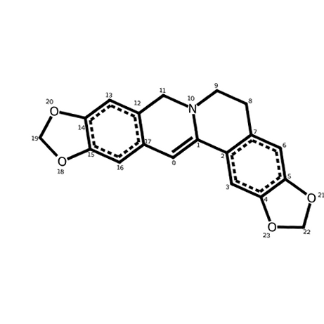 C1=C2c3cc4c(cc3CCN2Cc2cc3c(cc21)OCO3)OCO4